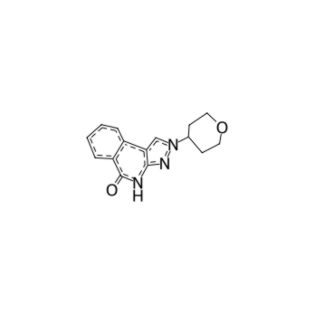 O=c1[nH]c2nn(C3CCOCC3)cc2c2ccccc12